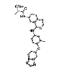 COC(C)C(=O)Nc1ccc2ncnc(Nc3ccc(Oc4ccn5ncnc5c4)c(C)c3)c2c1